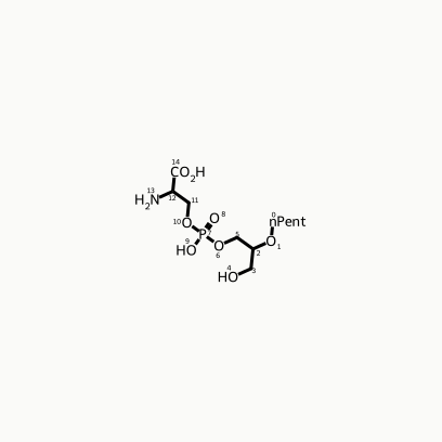 CCCCCOC(CO)COP(=O)(O)OCC(N)C(=O)O